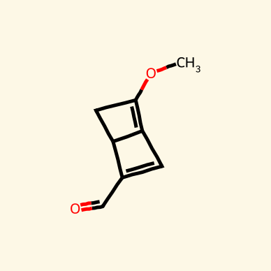 COC1=C2C=C(C=O)C2C1